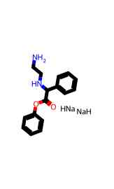 NCCNC(C(=O)Oc1ccccc1)c1ccccc1.[NaH].[NaH]